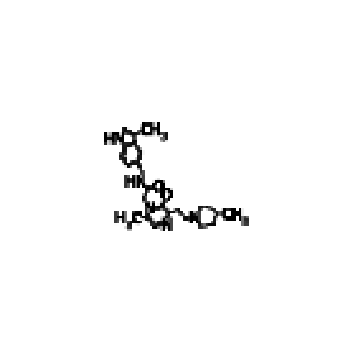 Cc1c[nH]c2ccc(CNC(=O)Cn3c(C)cnc(CCN4CCC(C)CC4)c3=O)cc12